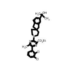 CCOC(=O)c1nc(-c2cccc(Cl)c2Cl)c(C)nc1N1CCC2(CC1)Cc1ccc(C(C)(C)O)cc1C2